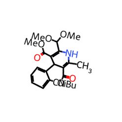 COC(=O)C1=C(C(OC)OC)NC(C)=C(C(=O)OCC(C)C)C1c1ccccc1C#N